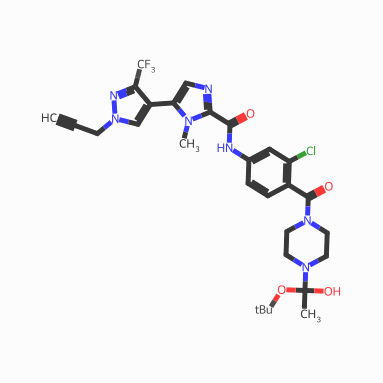 C#CCn1cc(-c2cnc(C(=O)Nc3ccc(C(=O)N4CCN(C(C)(O)OC(C)(C)C)CC4)c(Cl)c3)n2C)c(C(F)(F)F)n1